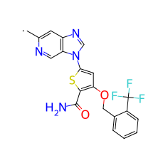 [CH2]c1cc2ncn(-c3cc(OCc4ccccc4C(F)(F)F)c(C(N)=O)s3)c2cn1